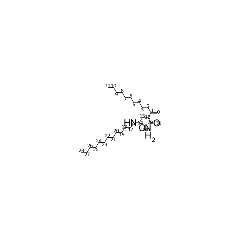 C=C(CCCCCCCCCC)C(CC(=O)NCCCCCCCCCCCC)C(N)=O